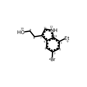 CCc1cc(Br)cc2c(CCO)c[nH]c12